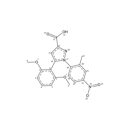 COc1cccc(OC)c1-c1cc(C(=O)O)nn1-c1ccc([N+](=O)[O-])cc1C